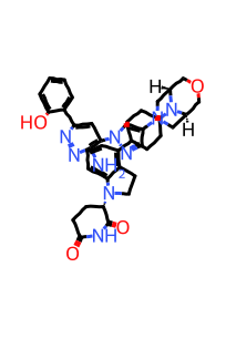 Nc1nnc(-c2ccccc2O)cc1-n1cc(N2C[C@@H]3COC[C@@H](C2)N3C2CCC(c3cccc4c3CCN4[C@H]3CCC(=O)NC3=O)CC2)cn1